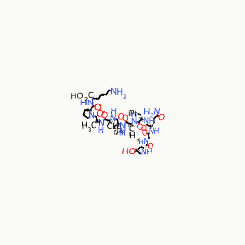 CC(C)C[C@H](NC(=O)[C@H](C)NC(=O)[C@H](CC(C)C)NC(=O)[C@H](CCC(N)=O)NC(=O)CNC(=O)[C@@H]1C[C@@H](O)CN1)C(=O)N[C@@H](C)C(=O)N[C@@H](C)C(=O)N1CCC[C@H]1C(=O)N[C@@H](CCCCN)C(=O)O